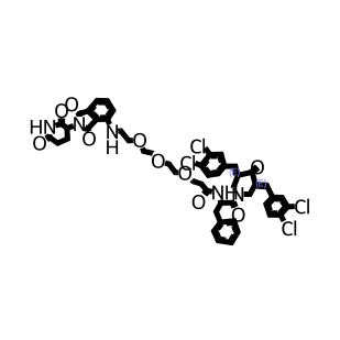 O=C1CCC(N2C(=O)c3cccc(NCCOCCOCCOCCC(=O)NC(Cc4ccccc4)C(=O)N4C/C(=C\c5ccc(Cl)c(Cl)c5)C(=O)/C(=C/c5ccc(Cl)c(Cl)c5)C4)c3C2=O)C(=O)N1